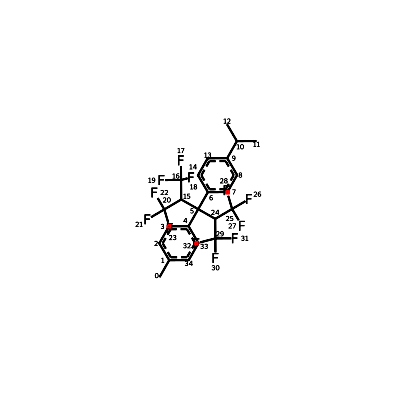 Cc1ccc(C(c2ccc(C(C)C)cc2)(C(C(F)(F)F)C(F)(F)F)C(C(F)(F)F)C(F)(F)F)cc1